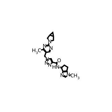 Cc1nc(N2CC3CC3C2)ncc1Cn1cc(C(=O)N[C@@H]2CCc3c2ncn3C)nn1